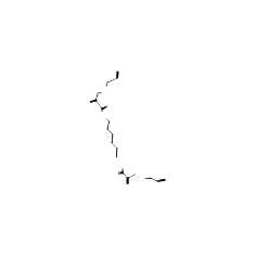 C=CCOCC(=C)C(=O)OCCCCCCOC(=O)C(=C)COCC=C